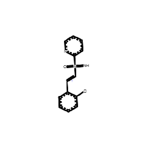 N=S(=O)(/C=C/c1ccccc1Cl)c1ccccn1